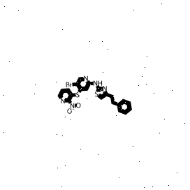 O=[N+]([O-])c1ncccc1Sc1cc(Nc2nc(CCc3ccccc3)cs2)ncc1Br